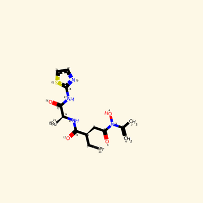 C=C(C)N(O)C(=O)C[C@@H](CC(C)C)C(=O)N[C@H](C(=O)Nc1nccs1)C(C)(C)C